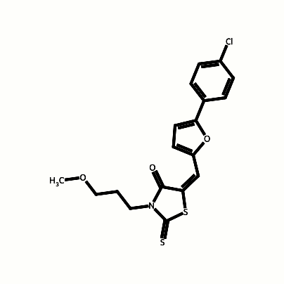 COCCCN1C(=O)/C(=C\c2ccc(-c3ccc(Cl)cc3)o2)SC1=S